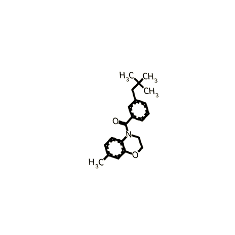 Cc1ccc2c(c1)OCCN2C(=O)c1cccc(CC(C)(C)C)c1